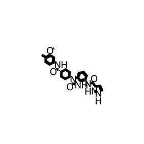 COc1cc(NC(=O)[C@H]2CC[C@@H](n3c(=O)[nH]c4c(NC(=O)c5cc[nH]n5)cccc43)CC2)ccc1C